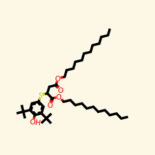 CCCCCCCCCCCCOC(=O)CC(Sc1cc(C(C)(C)C)c(O)c(C(C)(C)C)c1)C(=O)OCCCCCCCCCCCC